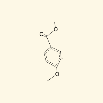 COC(=O)c1c[c]c(OC)cc1